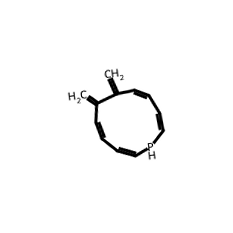 C=C1/C=C\C=C/P/C=C\C=C/C1=C